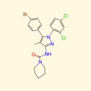 Cc1c(NC(=O)N2CCCCC2)nn(-c2ccc(Cl)cc2Cl)c1-c1ccc(Br)cc1